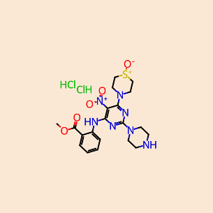 COC(=O)c1ccccc1Nc1nc(N2CCNCC2)nc(N2CC[S+]([O-])CC2)c1[N+](=O)[O-].Cl.Cl